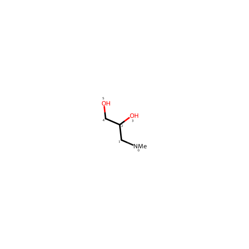 [CH2]NCC(O)CO